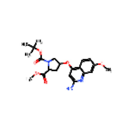 COC(=O)C1CC(Oc2cc(N)nc3cc(OC)ccc23)CN1C(=O)OC(C)(C)C